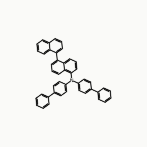 c1ccc(-c2ccc(N(c3ccc(-c4ccccc4)cc3)c3cccc4c(-c5cccc6ccccc56)cccc34)cc2)cc1